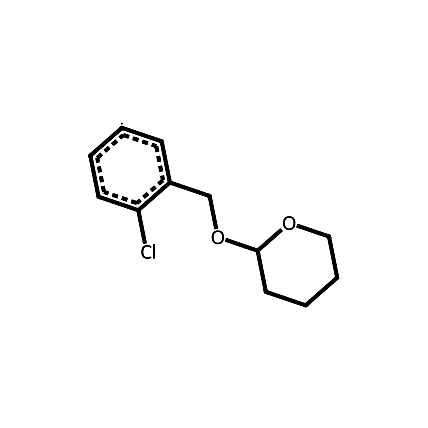 Clc1cc[c]cc1COC1CCCCO1